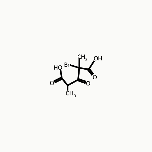 CC(C(=O)O)C(=O)C(C)(Br)C(=O)O